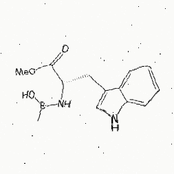 COC(=O)[C@H](Cc1c[nH]c2ccccc12)NB(C)O